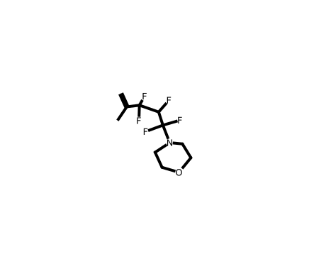 C=C(C)C(F)(F)C(F)C(F)(F)N1CCOCC1